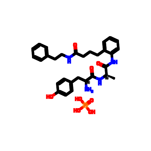 C[C@H](NC(=O)[C@@H](N)Cc1ccc(O)cc1)C(=O)Nc1ccccc1CCCC(=O)NCCc1ccccc1.O=P(O)(O)O